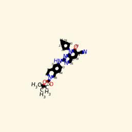 CC(C)(C)OC(=O)N1CCc2cc(Nc3ncc4cc(C#N)c(=O)n(C5CC6CC6C5)c4n3)ccc2C1